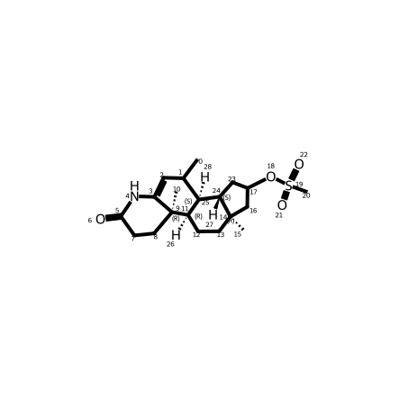 CC1C=C2NC(=O)CC[C@]2(C)[C@@H]2CC[C@]3(C)CC(OS(C)(=O)=O)C[C@H]3[C@H]12